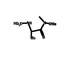 CON(C)C(=O)C(NC(=O)O)C(C)(C)C